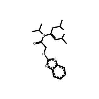 CC(C)C=C(CC(C)C)N(C(=O)COc1nc2ccccc2o1)C(C)C